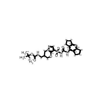 CC(C)(C)OC(=O)NCC1COc2c(S(=O)(=O)NC(=O)Nc3c4c(nc5c3CCC5)CCC4)cnn2C1